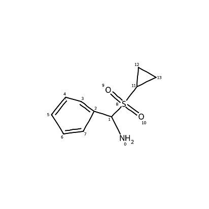 NC(c1c[c]ccc1)S(=O)(=O)C1CC1